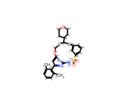 Cc1cccc(C)c1-c1cc2nc(n1)NS(=O)(=O)c1cccc(c1)CC(C1CCOCC1)CCO2